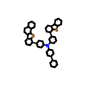 c1ccc(-c2ccc(N(c3ccc(-c4cccc5c4sc4c6ccccc6ccc54)cc3)c3cccc(-c4cccc5c4sc4ccccc45)c3)cc2)cc1